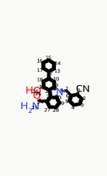 N#Cc1ccccc1Cn1c2cc(-c3ccccc3)cc(O)c2c2c(C(N)=O)cccc21